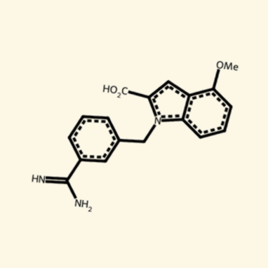 COc1cccc2c1cc(C(=O)O)n2Cc1cccc(C(=N)N)c1